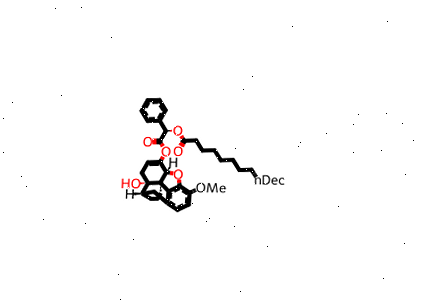 CCCCCCCCCCCCCCCCCC(=O)O[C@H](C(=O)OC1=CC[C@]2(O)[C@H]3CCC[C@]24c2c(ccc(OC)c2O[C@H]14)C3)c1ccccc1